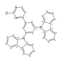 Clc1nccc(-c2cc(-n3c4ccccc4c4ccccc43)cc(-n3c4ccccc4c4ccccc43)c2)n1